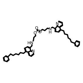 O=[PH](OCCCNCc1ccc(CCCCCCc2ccccc2)c2cccnc12)OCCCNCc1ccc(CCCCCCc2ccccc2)c2cccnc12